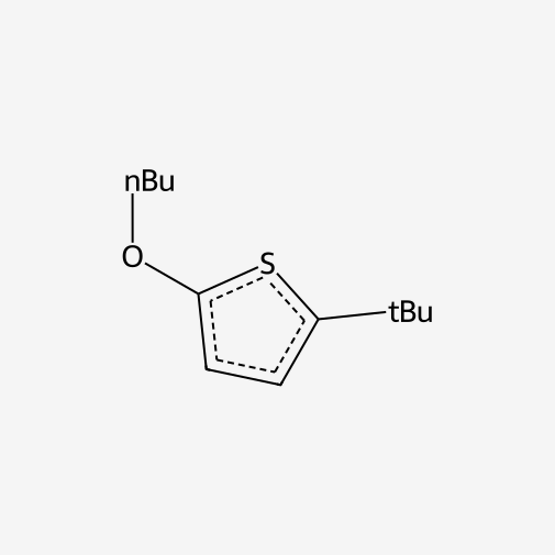 CCCCOc1ccc(C(C)(C)C)s1